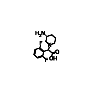 N[C@@H]1CCCN(C(C(=O)O)c2c(F)cccc2F)C1